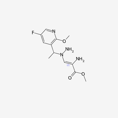 COC(=O)/C(N)=C/N(N)C(C)c1cc(F)cnc1OC